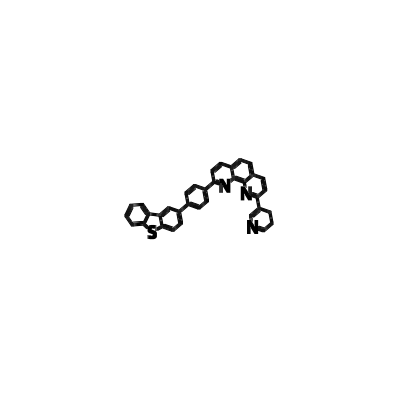 C1=NC=C(c2ccc3ccc4ccc(-c5ccc(-c6ccc7sc8ccccc8c7c6)cc5)nc4c3n2)CC1